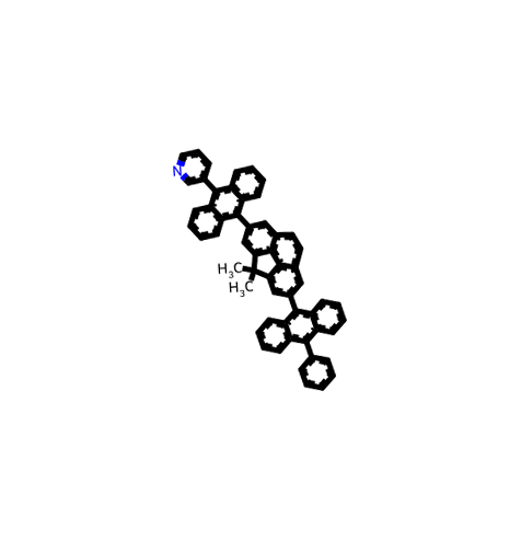 CC1(C)c2cc(-c3c4ccccc4c(-c4ccccc4)c4ccccc34)cc3ccc4cc(-c5c6ccccc6c(-c6cccnc6)c6ccccc56)cc1c4c23